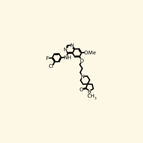 COc1cc2ncnc(Nc3ccc(F)c(Cl)c3)c2cc1OCCCN1CCC2(CC1)CCN(C)C2=O